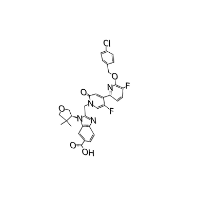 CC1(C)COC[C@H]1n1c(Cn2cc(F)c(-c3ccc(F)c(OCc4ccc(Cl)cc4)n3)cc2=O)nc2ccc(C(=O)O)cc21